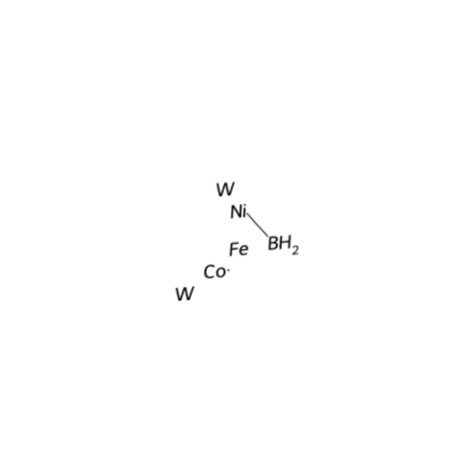 [BH2][Ni].[Co].[Fe].[W].[W]